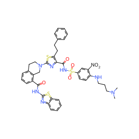 CN(C)CCCNc1ccc(S(=O)(=O)NC(=O)c2nc(N3CCc4cccc(C(=O)Nc5nc6ccccc6s5)c4C3)sc2CCc2ccccc2)cc1[N+](=O)[O-]